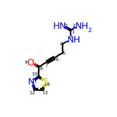 N=C(N)NCCC#CC(=O)c1nccs1